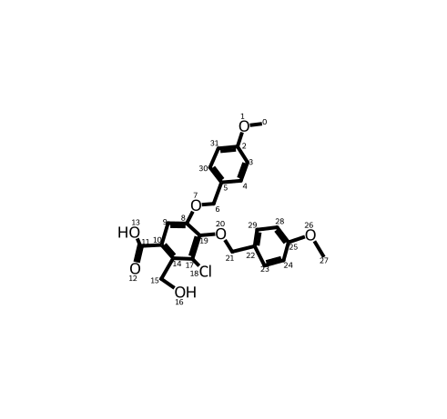 COc1ccc(COc2cc(C(=O)O)c(CO)c(Cl)c2OCc2ccc(OC)cc2)cc1